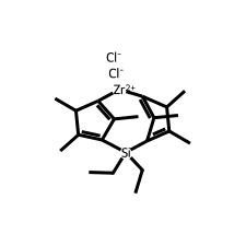 CC[Si]1(CC)C2=C(C)C(C)[C](=C2C)[Zr+2][C]2=C(C)C1=C(C)C2C.[Cl-].[Cl-]